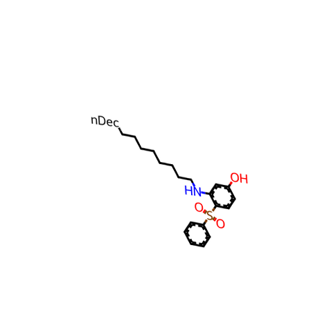 CCCCCCCCCCCCCCCCCCNc1cc(O)ccc1S(=O)(=O)c1ccccc1